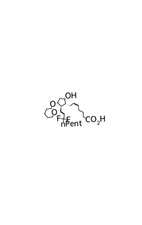 CCCCCC(F)(F)/C=C/[C@@H]1[C@@H](C/C=C\CCCC(=O)O)[C@@H](O)C[C@H]1OC1CCCCO1